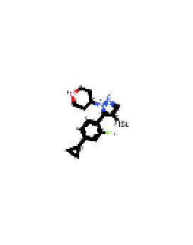 CC(C)(C)c1cnn(C2CCOCC2)c1-c1ccc(C2CC2)cc1F